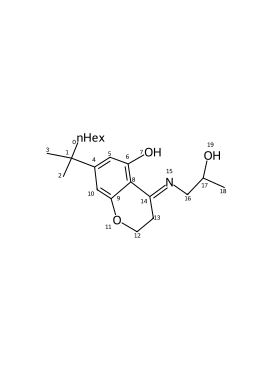 CCCCCCC(C)(C)c1cc(O)c2c(c1)OCCC2=NCC(C)O